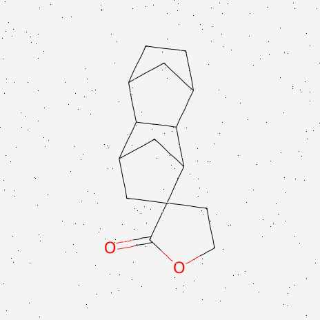 O=C1OCCC12CC1CC2C2C3CCC(C3)C12